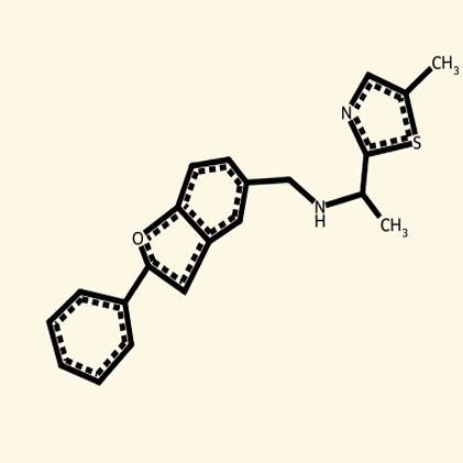 Cc1cnc(C(C)NCc2ccc3oc(-c4ccccc4)cc3c2)s1